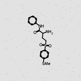 CSc1ccc(S(=O)(=O)CCC(N)C(=O)Nc2ccccc2)cc1